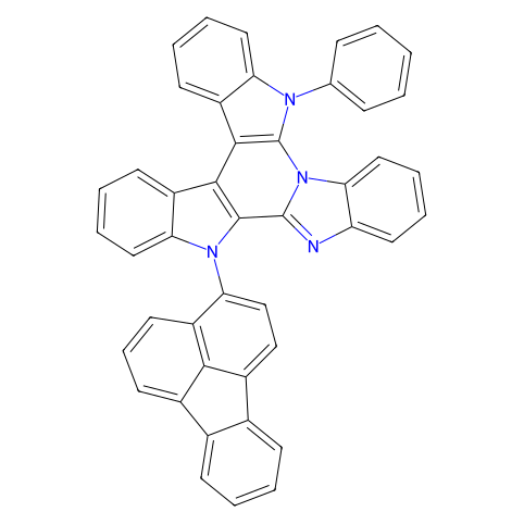 c1ccc(-n2c3ccccc3c3c4c5ccccc5n(-c5ccc6c7c(cccc57)-c5ccccc5-6)c4c4nc5ccccc5n4c32)cc1